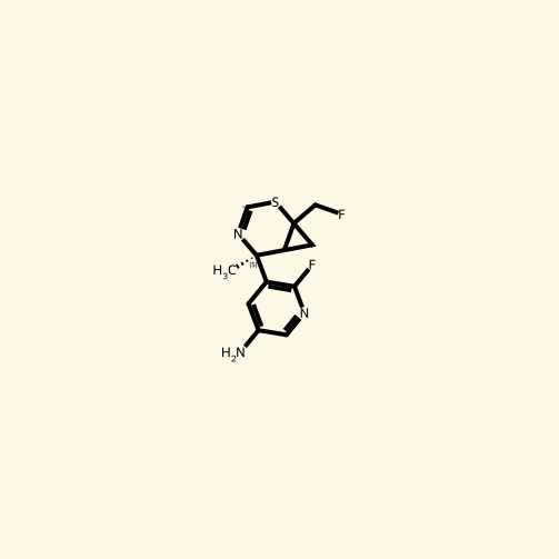 C[C@]1(c2cc(N)cnc2F)N=[C]SC2(CF)CC21